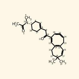 CC(=O)N(C)[C@@H]1CC=C(CC(=O)/C2=C/C3=C(C=CC(C)(C)CC3)CC=C=C2)CC1